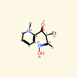 CC[C@H](C(=O)C1=CC=CCN1C)C(C)=NO